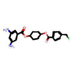 Nc1cc(N)cc(C(=O)OC2CCC(OC(=O)c3ccc(CF)cc3)CC2)c1